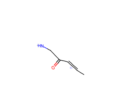 C/C=C/C(=O)C[NH]